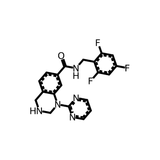 O=C(NCc1c(F)cc(F)cc1F)c1ccc2c(c1)N(c1ncccn1)CNC2